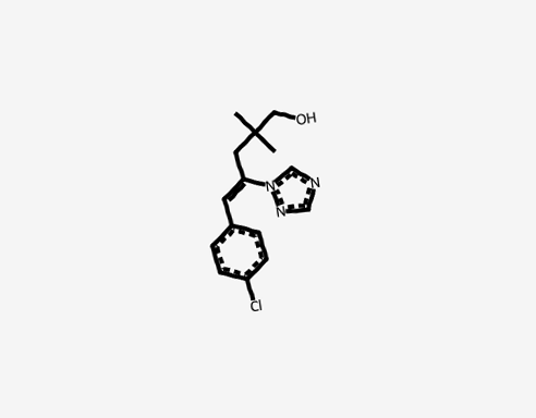 CC(C)(CO)CC(=Cc1ccc(Cl)cc1)n1cncn1